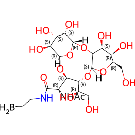 BCCNC(=O)[C@H](NC(C)=O)[C@H]1O[C@@H]2O[C@@H](OC3[C@H](O[C@@H]1[C@H](O)CO)O[C@H](CO)[C@H](O)[C@@H]3O)[C@@H](O)[C@@H](O)[C@@H]2O